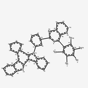 [2H]c1c([2H])c([2H])c(-c2nc(-c3cccc(-n4c5ccccc5c5c6sc7ccccc7c6c6ccccc6c54)c3)nc3cccnc23)c([2H])c1[2H]